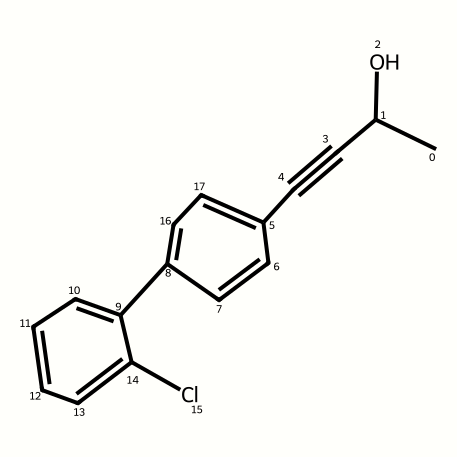 CC(O)C#Cc1ccc(-c2ccccc2Cl)cc1